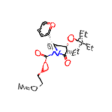 CC[Si](CC)(CC)O[C@@H]1C(=O)N(C(=O)OCCOC)[C@@H]1c1ccco1